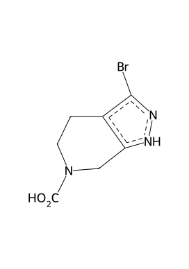 O=C(O)N1CCc2c(Br)n[nH]c2C1